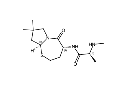 CN[C@@H](C)C(=O)N[C@@H]1CCS[C@H]2CC(C)(C)CN2C1=O